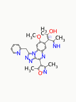 COc1cc2c(cc1/C(C(C)=N)=C(\C)O)nc(-c1c(C)noc1C)c1nnc(Cc3ccccn3)n12